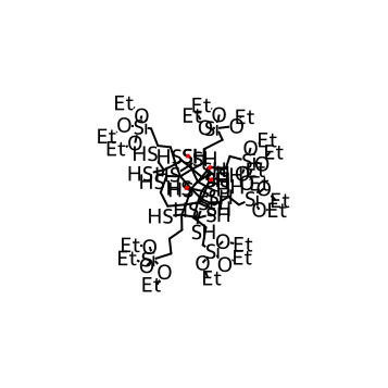 CCO[Si](CCCC(S)(C(S)(S)S)C1(C(S)(CCC[Si](OCC)(OCC)OCC)C(S)(S)S)CCCC(C(S)(CCC[Si](OCC)(OCC)OCC)C(S)(S)S)(C(S)(CCC[Si](OCC)(OCC)OCC)C(S)(S)S)C1(C(S)(CCC[Si](OCC)(OCC)OCC)C(S)(S)S)C(S)(CCC[Si](OCC)(OCC)OCC)C(S)(S)S)(OCC)OCC